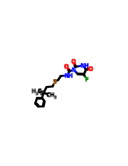 C[Si](C)(CCSCCNC(=O)n1cc(F)c(=O)[nH]c1=O)c1ccccc1